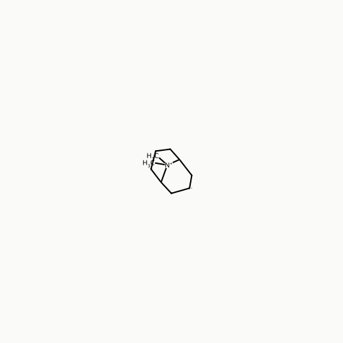 C[N+]1(C)C2C[CH]CC1CCC2